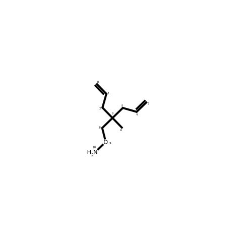 C=CCC(C)(CC=C)CON